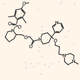 COc1cc(C)c(S(=O)(=O)N2CCCCC2COCC(=O)N2CCC(OCCCN3CCN(C)CC3)(c3cccnc3)CC2)c(C)c1